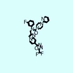 O=C(N1CCN(c2ccccn2)CC1)N(Cc1cn2ccc(-c3nnc(C(F)F)o3)cc2n1)c1cccc(F)c1